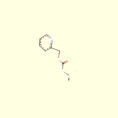 CC[C@H](C)[C@H](NC(=O)OCc1ccccn1)C(=O)O